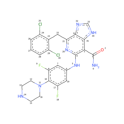 NC(=O)c1c(Nc2cc(F)c(N3CCNCC3)c(F)c2)nc(Cc2c(Cl)cccc2Cl)c2nc[nH]c12